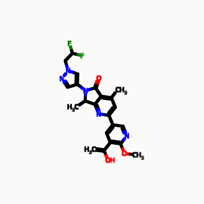 C=C(O)c1cc(-c2cc(C)c3c(n2)C(C)N(c2cnn(CC(F)F)c2)C3=O)cnc1OC